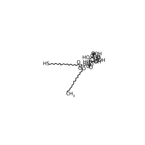 CCCCCCCCCCCCCCCC(=O)O[C@H](COC(=O)CCCCCCCCCCCCCCCS)COP(=O)(O)OC1C(O)[C@H](O)C(OP(=O)(O)O)[C@H](OP(=O)(O)O)[C@@H]1O